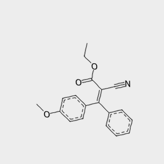 CCOC(=O)/C(C#N)=C(/c1ccccc1)c1ccc(OC)cc1